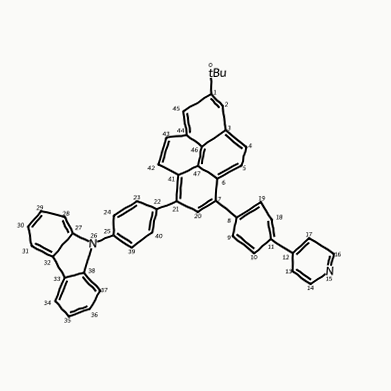 CC(C)(C)c1cc2ccc3c(-c4ccc(-c5ccncc5)cc4)cc(-c4ccc(-n5c6ccccc6c6ccccc65)cc4)c4ccc(c1)c2c34